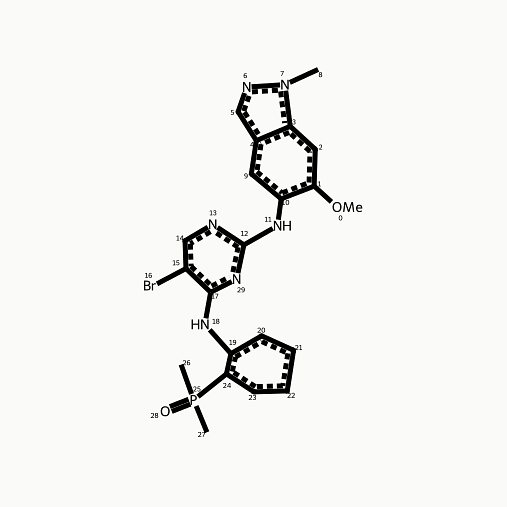 COc1cc2c(cnn2C)cc1Nc1ncc(Br)c(Nc2ccccc2P(C)(C)=O)n1